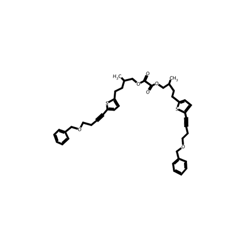 CC(CCc1ccc(C#CCCOCc2ccccc2)s1)COC(=O)C(=O)OCC(C)CCc1ccc(C#CCCOCc2ccccc2)s1